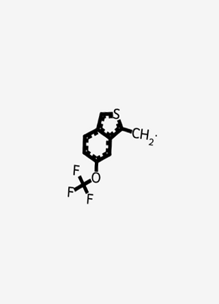 [CH2]c1scc2ccc(OC(F)(F)F)cc12